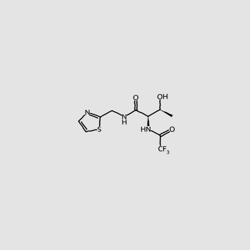 C[C@H](O)[C@@H](NC(=O)C(F)(F)F)C(=O)NCc1nccs1